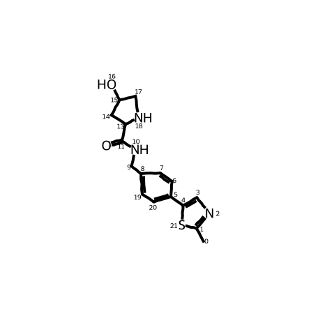 Cc1ncc(-c2ccc(CNC(=O)C3CC(O)CN3)cc2)s1